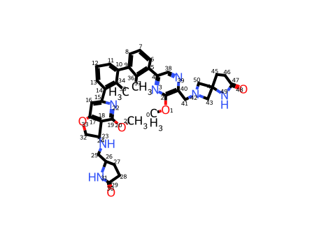 COc1nc(-c2cccc(-c3cccc(-c4cc5c(c(OC)n4)C(NCC4CCC(=O)N4)CO5)c3C)c2C)cnc1CN1CC2(CCC(=O)N2)C1